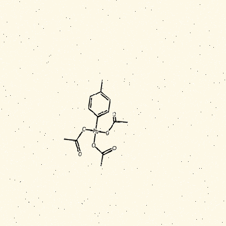 CC(=O)[O][Pb]([O]C(C)=O)([O]C(C)=O)[c]1ccc(C)cc1